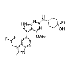 CCC1(O)CCC(Nc2nc(OC)c3c(-c4cnc5nc(C)n(CC(F)F)c5c4)c[nH]c3n2)CC1